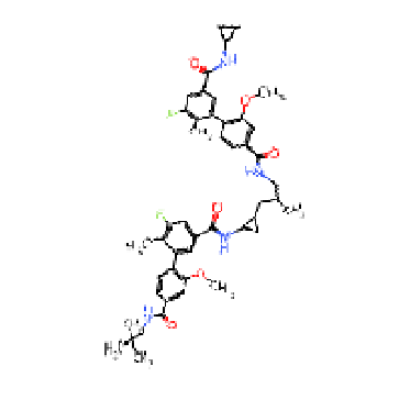 COc1cc(C(=O)NCC(C)CC2CC2NC(=O)c2cc(F)c(C)c(-c3ccc(C(=O)NCC(C)(C)C)cc3OC)c2)ccc1-c1cc(C(=O)NC2CC2)cc(F)c1C